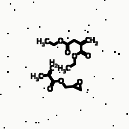 C=C(C)C(=O)OCC1CO1.C=C(CC(=O)OCC)C(=O)OCC